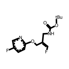 CC(C)(C)OC(=O)NC/C(=C/F)COc1ccc(F)cn1